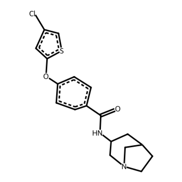 O=C(NC1CC2CCN(C2)C1)c1ccc(Oc2cc(Cl)cs2)cc1